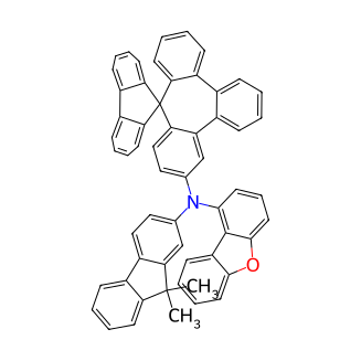 CC1(C)c2ccccc2-c2ccc(N(c3ccc4c(c3)-c3ccccc3-c3ccccc3C43c4ccccc4-c4ccccc43)c3cccc4oc5ccccc5c34)cc21